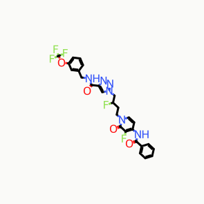 O=C(Nc1ccn(CCC(F)Cn2cc(C(=O)NCc3cccc(OC(F)(F)F)c3)nn2)c(=O)c1F)c1ccccc1